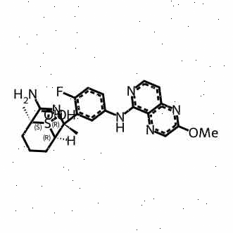 COc1cnc2c(Nc3ccc(F)c([C@@]4(C)N=C(N)[C@]5(C)CCC[C@H]4S5(O)O)c3)nccc2n1